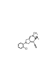 CN(C)/C=C1/CN(c2ccccc2Cl)CC1=C(C#N)C#N